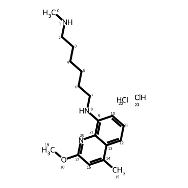 CNCCCCCCNc1cccc2c(C)cc(OC)nc12.Cl.Cl